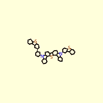 c1cc(-c2ccc3sc4ccccc4c3c2)cc(-n2c3ccccc3c3c4sc5c(ccc6c5c5ccccc5n6-c5ccc6sc7ccccc7c6c5)c4ccc32)c1